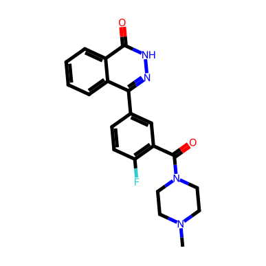 CN1CCN(C(=O)c2cc(-c3n[nH]c(=O)c4ccccc34)ccc2F)CC1